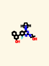 CC1(O)CN(c2nc(N3C[C@H]4CC[C@@H](C3)N4)c3ccc(-c4cc(O)cc5ccccc45)c(F)c3n2)C1